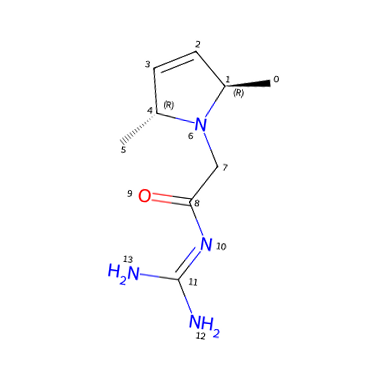 C[C@@H]1C=C[C@@H](C)N1CC(=O)N=C(N)N